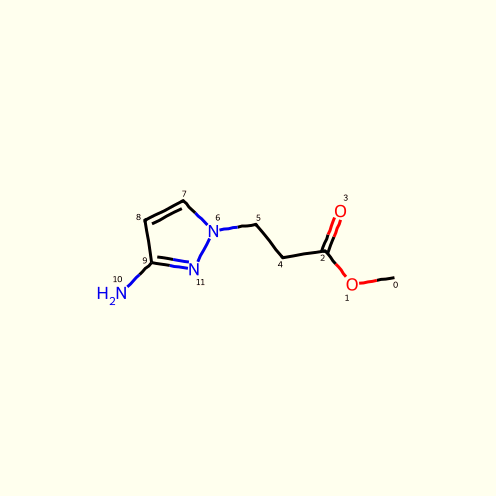 COC(=O)CCn1ccc(N)n1